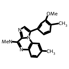 CNc1nc2ccc(C)cc2n2c(-c3ccc(C)c(OC)c3)cnc12